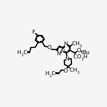 C=CCCc1cc(F)ccc1COCc1cc2nc(C)c(C(OC(C)(C)C)C(=O)O)c(N3CCC(C)(OCC=C)CC3)n2n1